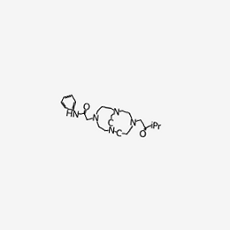 CC(C)C(=O)CN1CCCN2CCN(CCCN(CC(=O)Nc3ccccc3)CC2)CC1